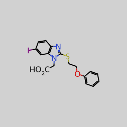 O=C(O)Cn1c(SCCOc2ccccc2)nc2ccc(I)cc21